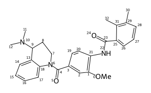 COc1cc(C(=O)N2CCC(N(C)C)c3ccccc32)ccc1NC(=O)c1cccc(C)c1C